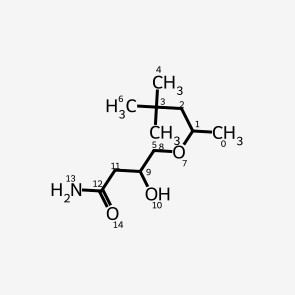 CC(CC(C)(C)C)OCC(O)CC(N)=O